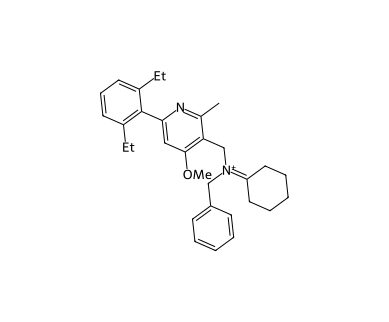 CCc1cccc(CC)c1-c1cc(OC)c(C[N+](Cc2ccccc2)=C2CCCCC2)c(C)n1